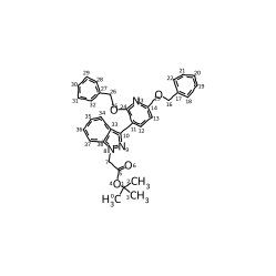 CC(C)(C)OC(=O)Cn1nc(-c2ccc(OCc3ccccc3)nc2OCc2ccccc2)c2ccccc21